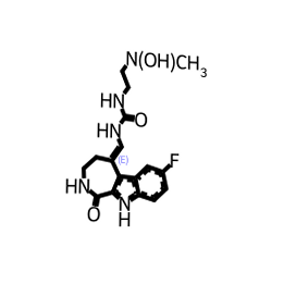 CN(O)CCNC(=O)N/C=C1\CCNC(=O)c2[nH]c3ccc(F)cc3c21